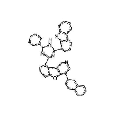 c1ccc(C2N=C(c3cccc4oc5c(-c6ccc7ccccc7c6)cncc5c34)N=C(c3cccc4c3sc3ccccc34)N2)cc1